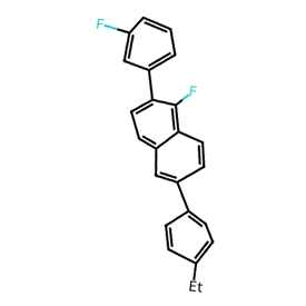 CCc1ccc(-c2ccc3c(F)c(-c4cccc(F)c4)ccc3c2)cc1